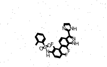 Cc1ccccc1S(=O)(=O)Nc1ccc(F)c(-c2ccc3c(-c4ncc[nH]4)n[nH]c3c2F)c1F